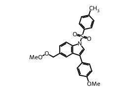 COOCc1ccc2c(c1)c(-c1ccc(OC)cc1)cn2S(=O)(=O)c1ccc(C)cc1